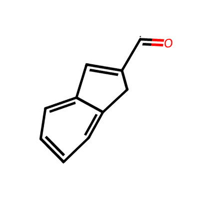 O=[C]C1=Cc2ccccc2C1